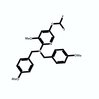 COc1ccc(CN(Cc2ccc(OC)cc2)c2ncc(OC(F)F)cc2OC)cc1